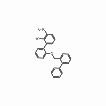 O=Cc1cccc(-c2ccccc2OCc2ccccc2-c2ccccc2)c1O